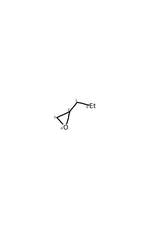 [CH2]CCC1CO1